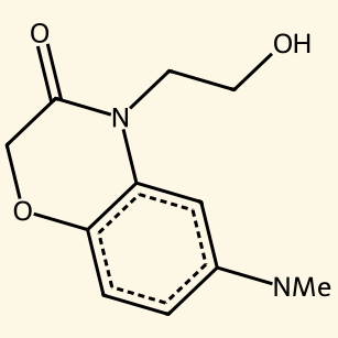 CNc1ccc2c(c1)N(CCO)C(=O)CO2